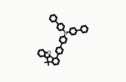 CC1(C)c2cccc(-c3ccc(-c4ccc(N(c5ccc(-c6ccccc6)cc5)c5ccc(-c6ccccc6)cc5)cc4)cc3)c2-c2oc3ccccc3c21